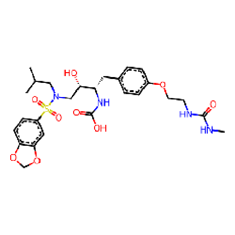 CNC(=O)NCCOc1ccc(C[C@H](NC(=O)O)[C@@H](O)CN(CC(C)C)S(=O)(=O)c2ccc3c(c2)OCO3)cc1